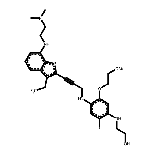 COCCOc1cc(NCCO)c(F)cc1NCC#Cc1sc2c(NCCN(C)C)cccc2c1CC(F)(F)F